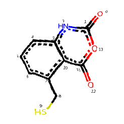 O=c1[nH]c2cccc(CS)c2c(=O)o1